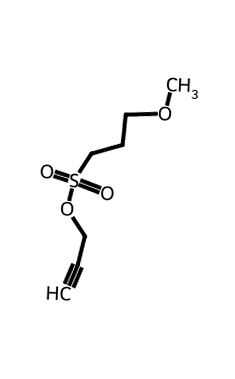 C#CCOS(=O)(=O)CCCOC